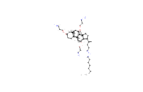 CCCCCCCCCCCCCCCCNCCCC(C)C1CC[C@H]2[C@@H]3[C@H](OCCCN)C[C@@H]4C[C@H](OCCCN)CC[C@]4(C)[C@H]3C[C@H](OCCCN)[C@]12C